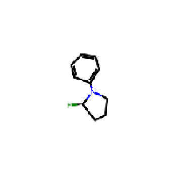 F[C@@H]1CCCN1c1c[c]ccc1